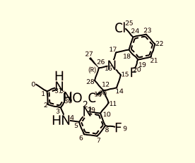 Cc1cc(Nc2ccc(F)c(C[C@@]3(C(=O)O)CCN(Cc4c(F)cccc4Cl)[C@H](C)C3)n2)n[nH]1